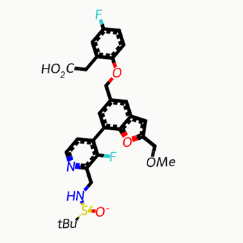 COCc1cc2cc(COc3ccc(F)cc3CC(=O)O)cc(-c3ccnc(CN[S@@+]([O-])C(C)(C)C)c3F)c2o1